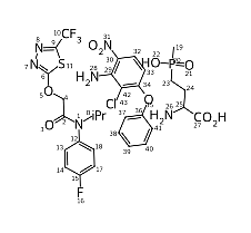 CC(C)N(C(=O)COc1nnc(C(F)(F)F)s1)c1ccc(F)cc1.CP(=O)(O)CCC(N)C(=O)O.Nc1c([N+](=O)[O-])ccc(Oc2ccccc2)c1Cl